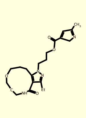 CCc1nn(CCCOC(=O)C2=CC(C)=NC2)c2c1C(=O)NCCCOCCC2